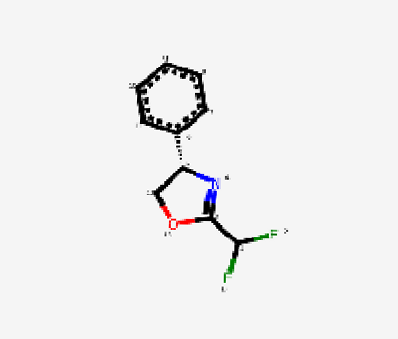 FC(F)C1=N[C@@H](c2ccccc2)CO1